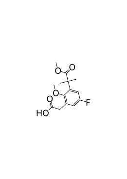 COC(=O)C(C)(C)c1cc(F)cc(CC(=O)O)c1OC